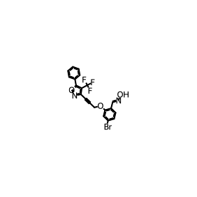 ON=Cc1ccc(Br)cc1OCC#Cc1noc(-c2ccccc2)c1C(F)(F)F